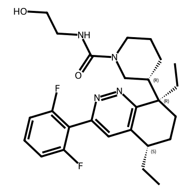 CC[C@H]1CC[C@](CC)([C@H]2CCCN(C(=O)NCCO)C2)c2nnc(-c3c(F)cccc3F)cc21